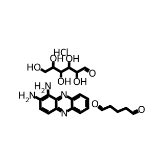 Cl.Nc1ccc2nc3ccccc3nc2c1N.O=CC(O)C(O)C(O)C(O)CO.O=CCCCC=O